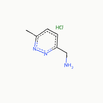 Cc1ccc(CN)nn1.Cl